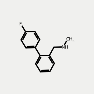 CNCc1ccccc1-c1ccc(F)cc1